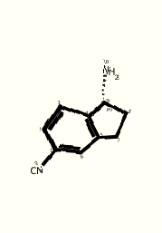 [C-]#[N+]c1ccc2c(c1)CC[C@H]2N